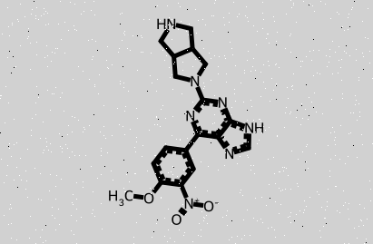 COc1ccc(-c2nc(N3CC4CNCC4C3)nc3[nH]cnc23)cc1[N+](=O)[O-]